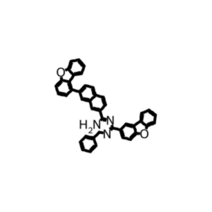 N/C(=N\C(=N/Cc1ccccc1)c1ccc2oc3ccccc3c2c1)c1ccc2ccc(-c3cccc4oc5ccccc5c34)cc2c1